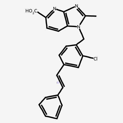 Cc1nc2nc(C(=O)O)ccc2n1Cc1ccc(/C=C/c2ccccc2)cc1Cl